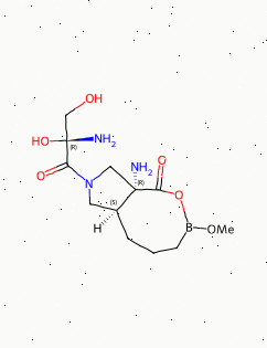 COB1CCC[C@H]2CN(C(=O)[C@](N)(O)CO)C[C@@]2(N)C(=O)O1